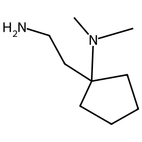 CN(C)C1(CCN)CCCC1